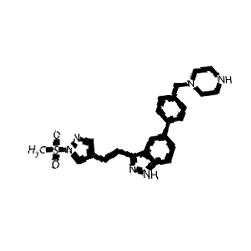 CS(=O)(=O)n1cc(C=Cc2n[nH]c3ccc(-c4ccc(CN5CCNCC5)cc4)cc23)cn1